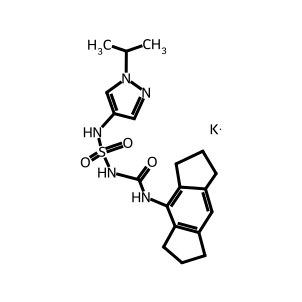 CC(C)n1cc(NS(=O)(=O)NC(=O)Nc2c3c(cc4c2CCC4)CCC3)cn1.[K]